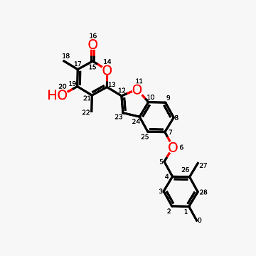 Cc1ccc(COc2ccc3oc(-c4oc(=O)c(C)c(O)c4C)cc3c2)c(C)c1